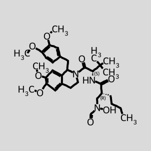 CCCC[C@H](CN(O)C=O)C(=O)N[C@H](C(=O)N1CCc2cc(OC)c(OC)cc2C1Cc1ccc(OC)c(OC)c1)C(C)(C)C